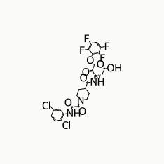 O=C(O)C[C@H](NC(=O)C1CCN(C(=O)C(=O)Nc2cc(Cl)ccc2Cl)CC1)C(=O)COc1c(F)c(F)cc(F)c1F